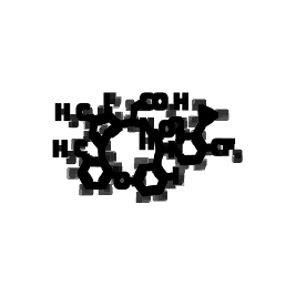 Cc1cc2cc(c1F)[C@@H](CC(=O)O)NC(=O)[C@@H](n1ccc(C(F)(F)F)c(C3CC3)c1=O)c1cc(ccc1F)Oc1cccc(C)c1-2